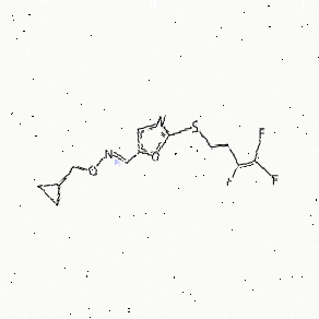 FC(F)=C(F)CCSc1ncc(/C=N/OCC2CC2)o1